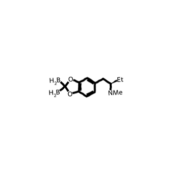 BC1(B)Oc2ccc(C[C@@H](CC)NC)cc2O1